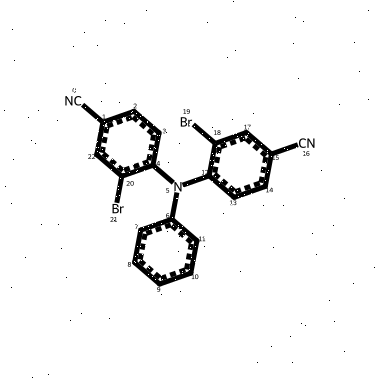 N#Cc1ccc(N(c2ccccc2)c2ccc(C#N)cc2Br)c(Br)c1